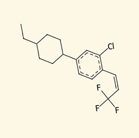 CCC1CCC(c2ccc(/C=C\C(F)(F)F)c(Cl)c2)CC1